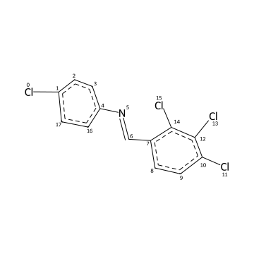 Clc1ccc(N=Cc2ccc(Cl)c(Cl)c2Cl)cc1